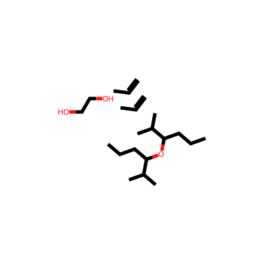 C=CC.C=CC.CCCC(OC(CCC)C(C)C)C(C)C.OCCO